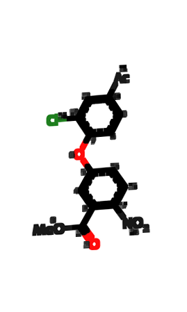 COC(=O)c1cc(Oc2ccc(C(C)=O)cc2Cl)ccc1[N+](=O)[O-]